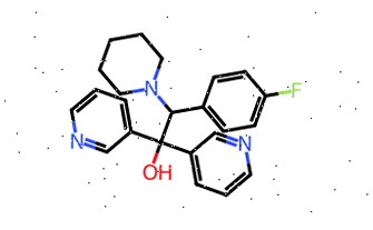 OC(c1cccnc1)(c1cccnc1)C(c1ccc(F)cc1)N1CCCCC1